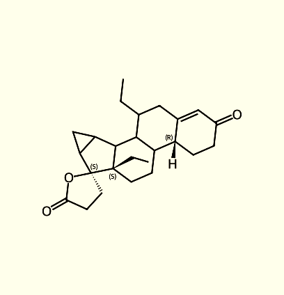 CCC1CC2=CC(=O)CC[C@@H]2C2CC[C@@]3(CC)C(C4CC4[C@@]34CCC(=O)O4)C12